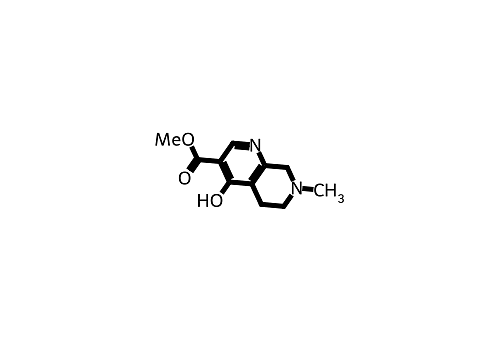 COC(=O)c1cnc2c(c1O)CCN(C)C2